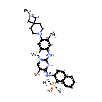 COc1cc(N2CCC3(CC2)CN(C(C)C)C3)c(C)cc1Nc1ncc(Br)c(Nc2ccc3ccccc3c2P(C)(C)=O)n1